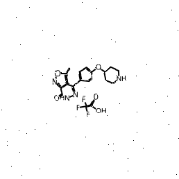 Cc1onc2c(=O)[nH]nc(-c3ccc(OC4CCNCC4)cc3)c12.O=C(O)C(F)(F)F